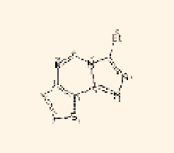 CCc1nnc2c3sccc3ncn12